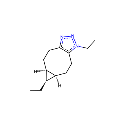 CC[C@H]1[C@H]2CCc3nnn(CC)c3CC[C@@H]12